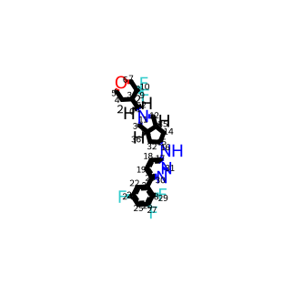 [2H]C([2H])(C1CCOCC1(F)F)N1C[C@H]2CC(Nc3ccc(-c4cc(F)cc(F)c4F)nn3)C[C@H]2C1